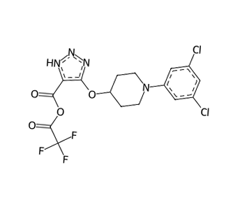 O=C(OC(=O)C(F)(F)F)c1[nH]nnc1OC1CCN(c2cc(Cl)cc(Cl)c2)CC1